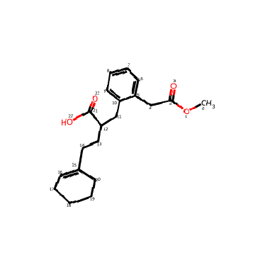 COC(=O)Cc1ccccc1CC(CCC1=CCCCC1)C(=O)O